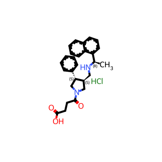 C[C@@H](NC[C@H]1CN(C(=O)CCC(=O)O)C[C@@H]1c1ccccc1)c1cccc2ccccc12.Cl